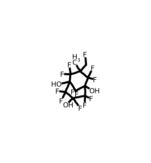 CC1(CF)C(F)(F)C2(O)C(F)(F)C(O)(F)C(F)(F)C(O)(C1(F)F)C2(F)F